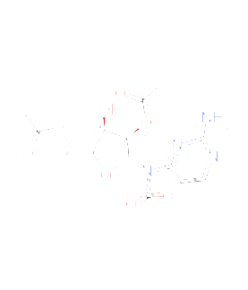 CC(=O)OC[C@H]1O[C@@H](n2c(=O)oc3cnc(N)nc32)[C@H](OC(C)=O)[C@@H]1O